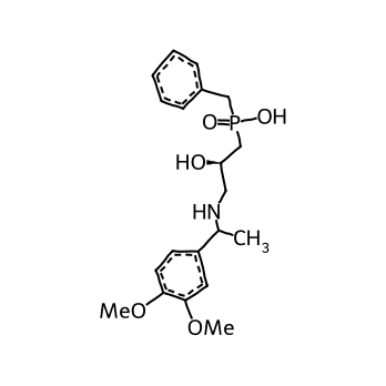 COc1ccc(C(C)NC[C@@H](O)CP(=O)(O)Cc2ccccc2)cc1OC